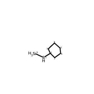 [SiH3]BC1CCCCC1